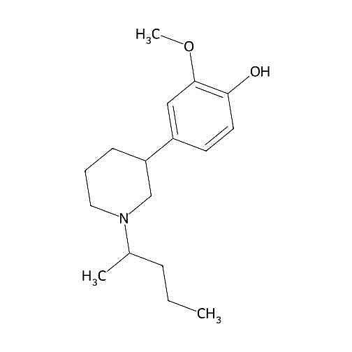 CCCC(C)N1CCCC(c2ccc(O)c(OC)c2)C1